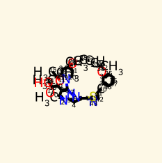 Cc1nc2cc3nn2c(c1[C@H](OC(C)(C)C)C(=O)O)N1CCC(C)(CC1)OCCCC[C@@H](C)Oc1ccccc1Cc1cnc-3s1